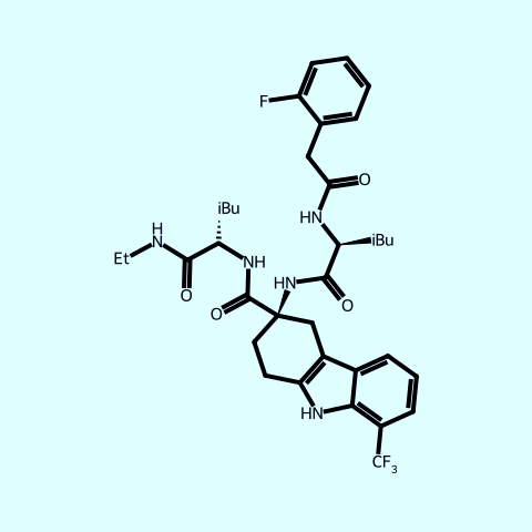 CCNC(=O)C(NC(=O)[C@@]1(NC(=O)[C@@H](NC(=O)Cc2ccccc2F)C(C)CC)CCc2[nH]c3c(C(F)(F)F)cccc3c2C1)[C@@H](C)CC